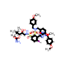 COc1ccc(CN(Cc2ccc(OC)cc2)S(=O)(=O)c2c(S(=O)(=O)NCC(O)[C@H](OC(N)=O)C(C)(C)C)ccc(I)c2-c2nnn(Cc3ccc(OC)cc3)n2)cc1